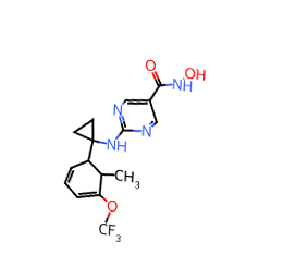 CC1C(OC(F)(F)F)=CC=CC1C1(Nc2ncc(C(=O)NO)cn2)CC1